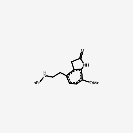 CCCNCCc1ccc(OC)c2c1CC(=O)N2